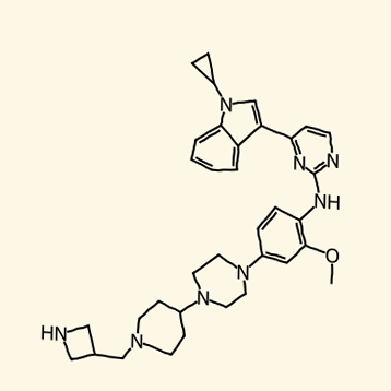 COc1cc(N2CCN(C3CCN(CC4CNC4)CC3)CC2)ccc1Nc1nccc(-c2cn(C3CC3)c3ccccc23)n1